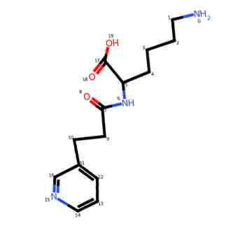 NCCCCC(NC(=O)CCc1cccnc1)C(=O)O